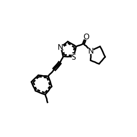 Cc1cccc(C#Cc2ncc(C(=O)N3CCCC3)s2)c1